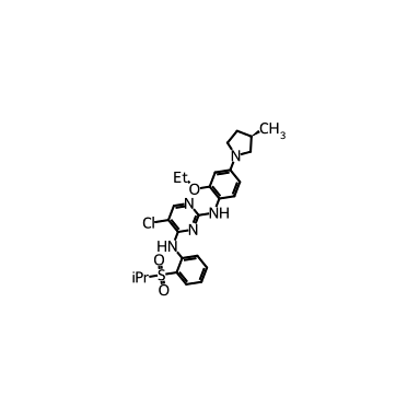 CCOc1cc(N2CC[C@@H](C)C2)ccc1Nc1ncc(Cl)c(Nc2ccccc2S(=O)(=O)C(C)C)n1